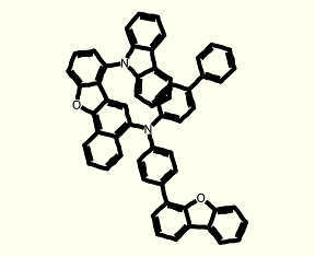 c1ccc(-c2ccc(N(c3ccc(-c4cccc5c4oc4ccccc45)cc3)c3cc4c(oc5cccc(-n6c7ccccc7c7ccccc76)c54)c4ccccc34)cc2)cc1